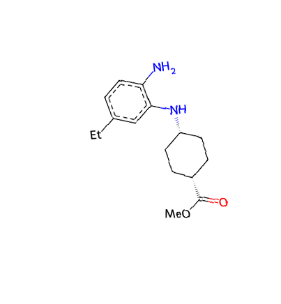 CCc1ccc(N)c(N[C@H]2CC[C@@H](C(=O)OC)CC2)c1